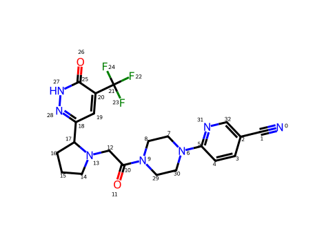 N#Cc1ccc(N2CCN(C(=O)CN3CCCC3c3cc(C(F)(F)F)c(=O)[nH]n3)CC2)nc1